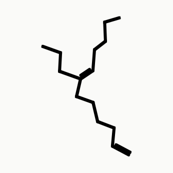 C=CCCCCC(=CCCCC)CCC